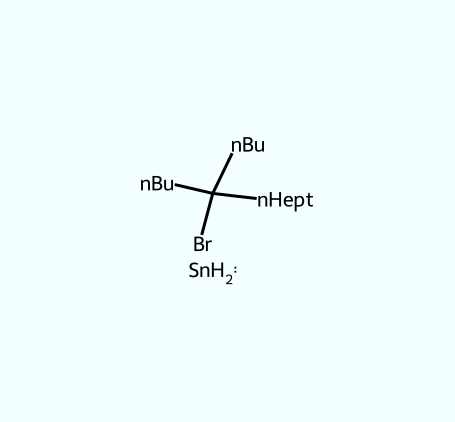 CCCCCCCC(Br)(CCCC)CCCC.[SnH2]